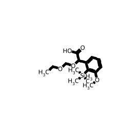 CCOCOC(C(=O)O)c1cccc(OC)c1[Si](C)(C)C